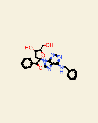 O=C(c1ccccc1)[C@]1(n2cnc3c(NCc4ccccc4)ncnc32)C[C@H](O)[C@@H](CO)O1